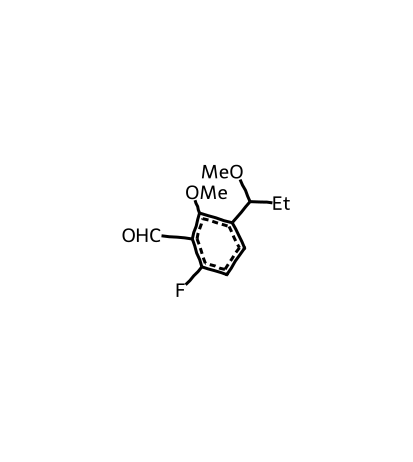 CCC(OC)c1ccc(F)c(C=O)c1OC